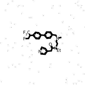 CCN(CCN(C)Cc1ccc(-c2ccc(C(CF)C(F)(F)F)cc2)cc1)C(=O)Cc1ccncc1